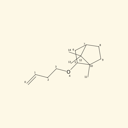 C=CCCOC1CC2CCC1(C)C2(C)C